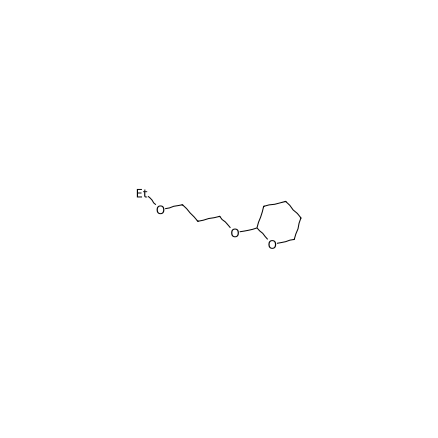 CCOCCCOC1CCCCO1